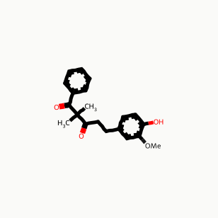 COc1cc(CCC(=O)C(C)(C)C(=O)c2ccccc2)ccc1O